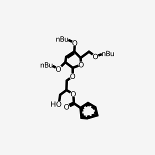 CCCCOCC1OC(OCC(CO)OC(=O)c2ccccc2)C(OCCCC)C=C1OCCCC